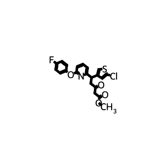 COC(=O)CC(=O)CC(c1csc(Cl)c1)c1cccc(Oc2ccc(F)cc2)n1